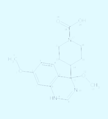 COc1ccc2c(c1)NC=NC2(OC)C1CCN(C(=O)O)CC1